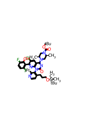 CC(C)c1nccc(CCCO[Si](C)(C)C(C)(C)C)c1-n1c(=O)nc(N2C[C@H](C)N(C(=O)OC(C)(C)C)C[C@@H]2C)c2cc(Cl)c(-c3c(F)ccc(F)c3O)nc21